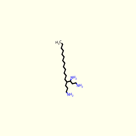 CCCCCCCCCCCCCC(CCCN)C(N)CCN